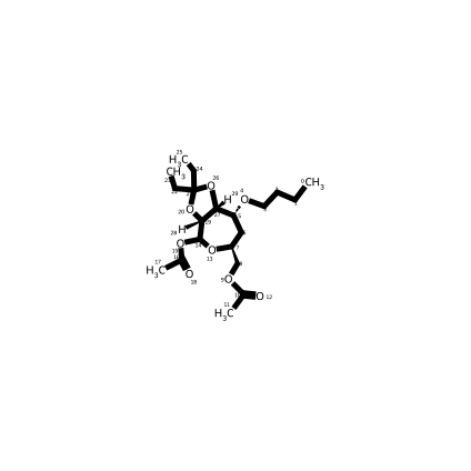 CCCCO[C@@H]1C[C@@H](COC(C)=O)OC(OC(C)=O)[C@@H]2OC(CC)(CC)O[C@H]12